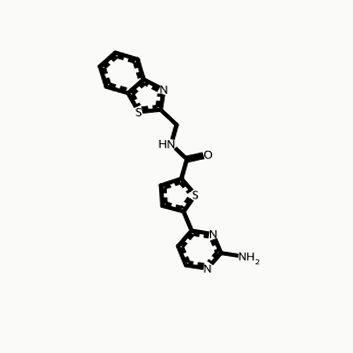 Nc1nccc(-c2ccc(C(=O)NCc3nc4ccccc4s3)s2)n1